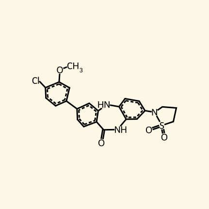 COc1cc(-c2ccc3c(c2)Nc2ccc(N4CCCS4(=O)=O)cc2NC3=O)ccc1Cl